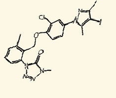 Cc1cccc(-n2nnn(C)c2=O)c1COc1ccc(-n2nc(C)c(I)c2C)cc1Cl